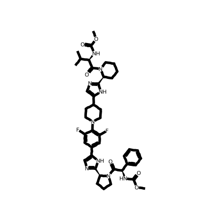 COC(=O)N[C@@H](C(=O)N1CCC[C@H]1c1ncc(-c2cc(F)c(N3CCC(c4cnc([C@@H]5CCCCN5C(=O)[C@H](NC(=O)OC)C(C)C)[nH]4)CC3)c(F)c2)[nH]1)c1ccccc1